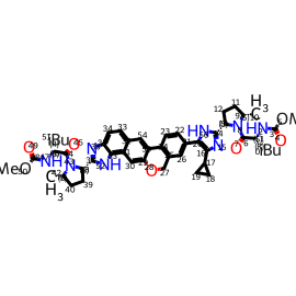 CC[C@@H](C)[C@H](NC(=O)OC)C(=O)N1[C@@H](C)CC[C@H]1c1nc(C2CC2)c(-c2ccc3c(c2)COc2cc4c(ccc5nc([C@@H]6CC[C@H](C)N6C(=O)[C@@H](NC(=O)OC)[C@H](C)CC)[nH]c54)cc2-3)[nH]1